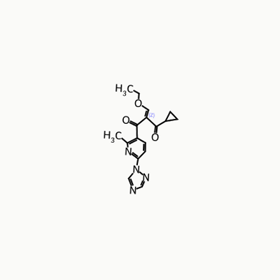 CCO/C=C(\C(=O)c1ccc(-n2cncn2)nc1C)C(=O)C1CC1